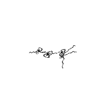 CCCCCCOC(=O)C=CC(=O)OCCCCC(=O)O[Si](CCCCCC)(CCCCCC)CCCCCC